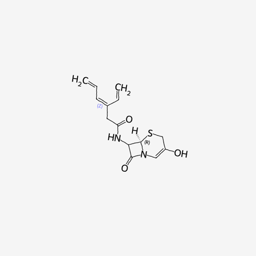 C=C/C=C(\C=C)CC(=O)NC1C(=O)N2C=C(O)CS[C@H]12